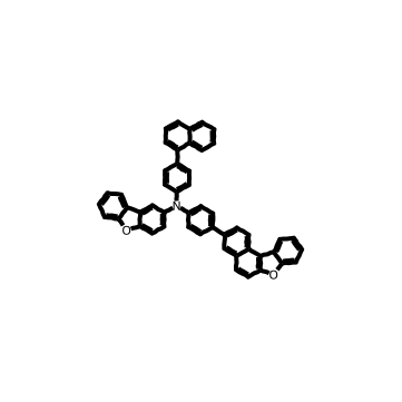 c1ccc2c(-c3ccc(N(c4ccc(-c5ccc6c(ccc7oc8ccccc8c76)c5)cc4)c4ccc5oc6ccccc6c5c4)cc3)cccc2c1